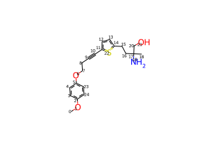 COc1ccc(OCCC#Cc2ccc(CCC(C)(N)CO)s2)cc1